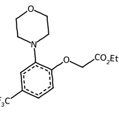 CCOC(=O)COc1ccc(C(F)(F)F)cc1N1CCOCC1